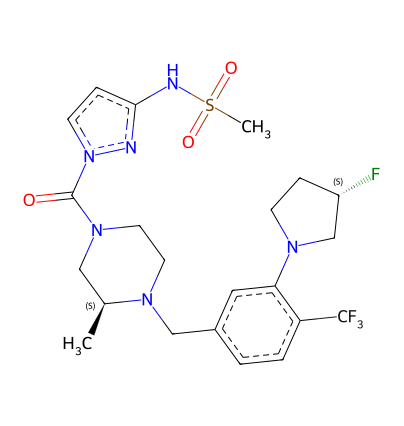 C[C@H]1CN(C(=O)n2ccc(NS(C)(=O)=O)n2)CCN1Cc1ccc(C(F)(F)F)c(N2CC[C@H](F)C2)c1